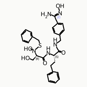 N/C(=N\O)c1ccc(CNC(=O)[C@H](CCc2ccccc2)NC(=O)[C@@H](CO)N(O)SCc2ccccc2)cc1